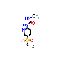 CNC(=O)Nc1ccc(S(C)(=O)=O)cn1